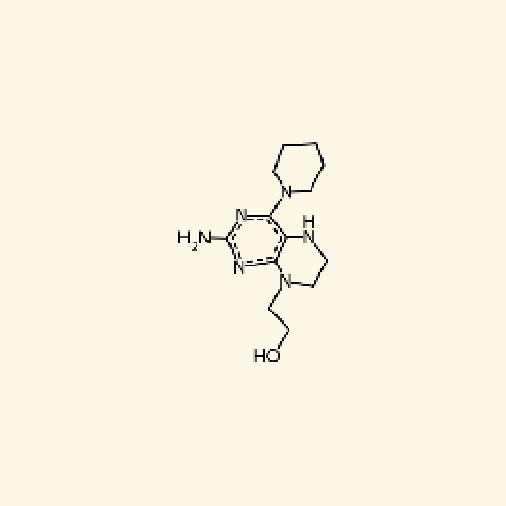 Nc1nc(N2CCCCC2)c2c(n1)N(CCO)CCN2